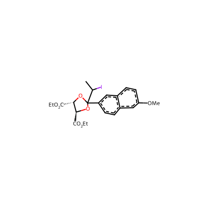 CCOC(=O)[C@@H]1OC(c2ccc3cc(OC)ccc3c2)(C(C)I)O[C@H]1C(=O)OCC